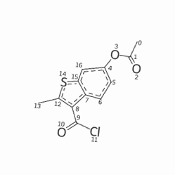 CC(=O)Oc1ccc2c(C(=O)Cl)c(C)sc2c1